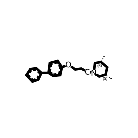 C[C@@H]1C[C@H](C)CN(CCCOc2ccc(-c3ccccc3)cc2)C1